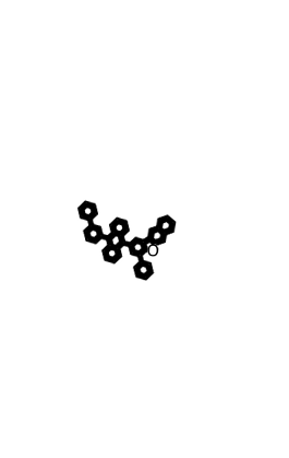 c1ccc(-c2cccc(-c3c4ccccc4c(-c4cc(-c5ccccc5)c5oc6cc7ccccc7cc6c5c4)c4ccccc34)c2)cc1